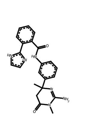 CN1C(=O)CC(C)(c2cccc(NC(=O)c3ccccc3-c3ncc[nH]3)c2)N=C1N